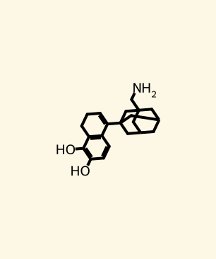 NCC12CC3CC(C1)CC(C1=CCCc4c1ccc(O)c4O)(C3)C2